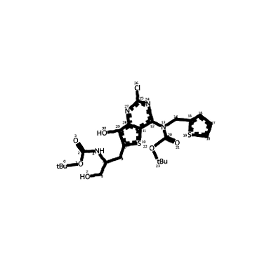 CC(C)(C)OC(=O)NC(CO)Cc1sc2c(N(Cc3cccs3)C(=O)OC(C)(C)C)nc(Cl)nc2c1O